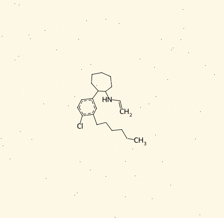 C=CNC1CCCCCC1c1ccc(Cl)c(CCCCCC)c1